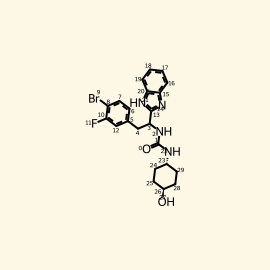 O=C(NC(Cc1ccc(Br)c(F)c1)c1nc2ccccc2[nH]1)N[C@H]1CC[C@H](O)CC1